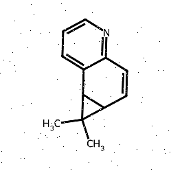 CC1(C)C2C=Cc3ncccc3C21